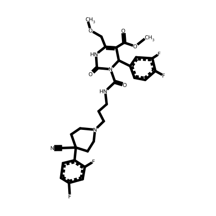 COCC1=C(C(=O)OC)C(c2ccc(F)c(F)c2)N(C(=O)NCCCN2CCC(C#N)(c3ccc(F)cc3F)CC2)C(=O)N1